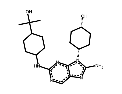 CC(C)(O)C1CCC(Nc2ncc3nc(N)n([C@H]4CC[C@@H](O)CC4)c3n2)CC1